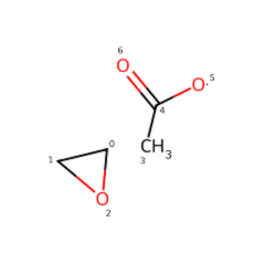 C1CO1.CC([O])=O